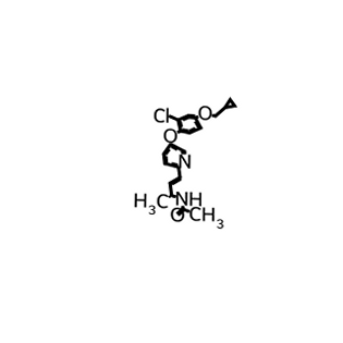 CC(=O)N[C@@H](C)/C=C/c1ccc(Oc2ccc(OCC3CC3)cc2Cl)cn1